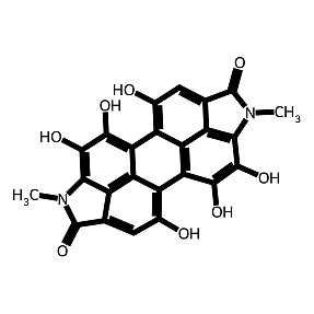 CN1C(=O)c2cc(O)c3c4c(O)c(O)c5c6c(cc(O)c(c7c(O)c(O)c1c2c37)c64)C(=O)N5C